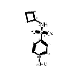 O=Cc1ccc(S(=O)(=O)NC2CCC2)cc1